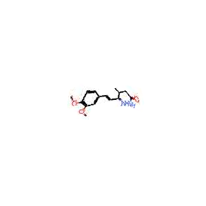 COc1ccc(C=CC2=NNC(=O)CC2C)cc1OC